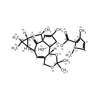 CC1=C[C@]23C(=O)[C@@H](C=C4COC(C)(C)O[C@H]4[C@]2(O)[C@H]1OC(=O)c1c(C)ccn1C)[C@H]1[C@@H](C[C@H]3C)C1(C)C